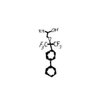 CCC(O)COC(c1ccc(-c2ccccc2)cc1)(C(F)(F)F)C(F)(F)F